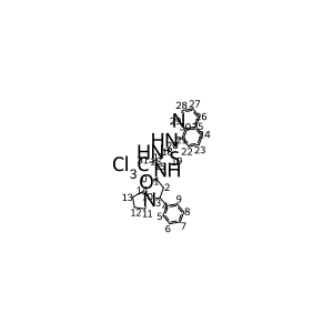 O=C(CC(c1ccccc1)N1CCCC1)NC(NC(=S)Nc1cccc2cccnc12)C(Cl)(Cl)Cl